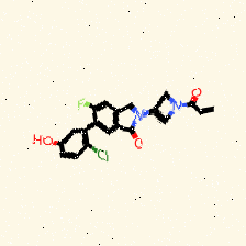 C=CC(=O)N1CC(N2Cc3cc(F)c(-c4cc(O)ccc4Cl)cc3C2=O)C1